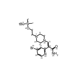 CC(C)(C)[Si](C)(C)OCCN1CCN(C=C(C(N)=O)c2cc(Br)ccn2)CC1